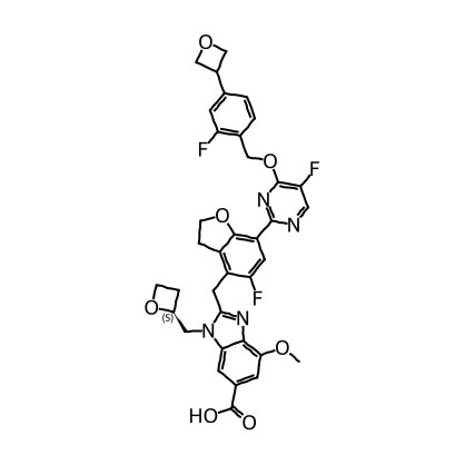 COc1cc(C(=O)O)cc2c1nc(Cc1c(F)cc(-c3ncc(F)c(OCc4ccc(C5COC5)cc4F)n3)c3c1CCO3)n2C[C@@H]1CCO1